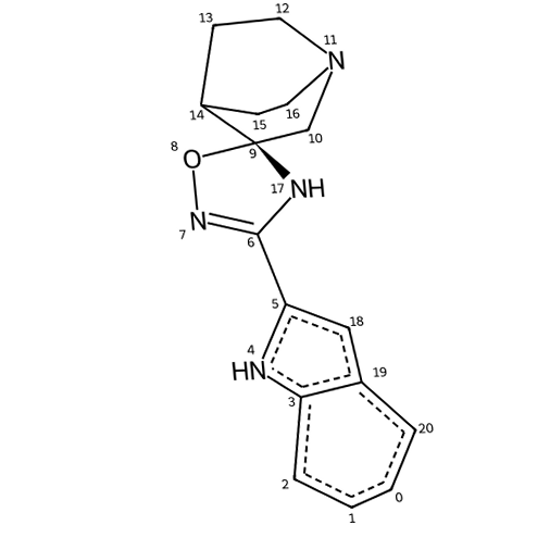 c1ccc2[nH]c(C3=NO[C@]4(CN5CCC4CC5)N3)cc2c1